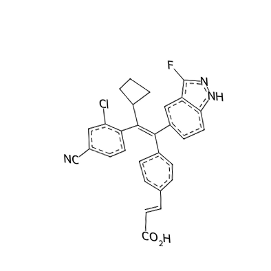 N#Cc1ccc(C(=C(c2ccc(C=CC(=O)O)cc2)c2ccc3[nH]nc(F)c3c2)C2CCC2)c(Cl)c1